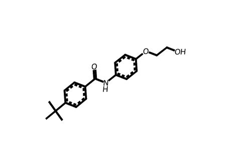 CC(C)(C)c1ccc(C(=O)Nc2ccc(OCCO)cc2)cc1